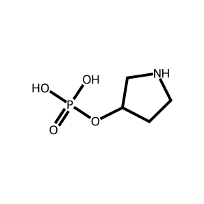 O=P(O)(O)OC1CCNC1